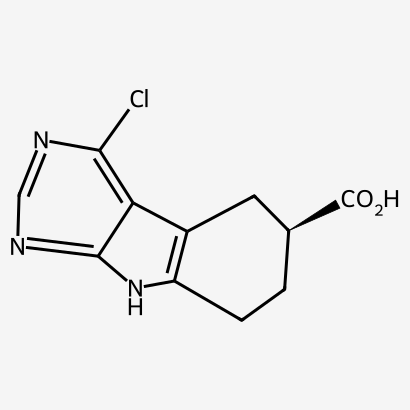 O=C(O)[C@H]1CCc2[nH]c3ncnc(Cl)c3c2C1